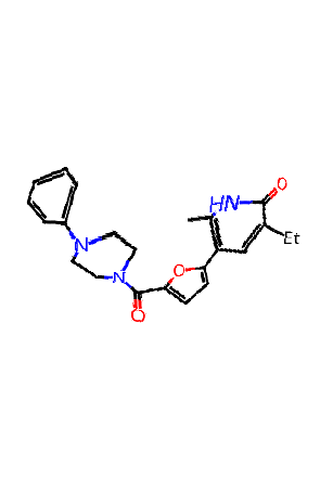 CCc1cc(-c2ccc(C(=O)N3CCN(c4ccccc4)CC3)o2)c(C)[nH]c1=O